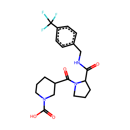 O=C(NCc1ccc(C(F)(F)F)cc1)C1CCCN1C(=O)C1CCCN(C(=O)O)C1